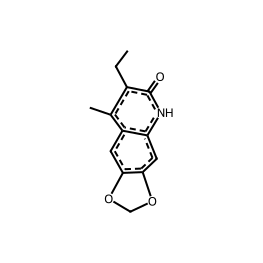 CCc1c(C)c2cc3c(cc2[nH]c1=O)OCO3